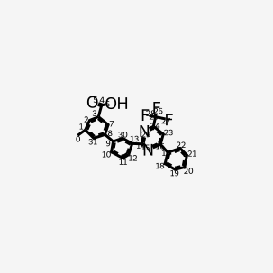 Cc1cc(C(=O)O)cc(-c2cccc(-c3nc(-c4ccccc4)cc(C(F)(F)F)n3)c2)c1